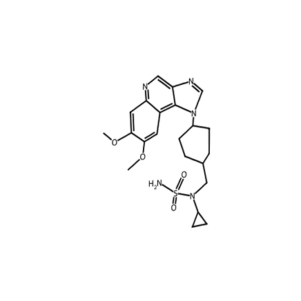 COc1cc2ncc3ncn(C4CCC(CN(C5CC5)S(N)(=O)=O)CC4)c3c2cc1OC